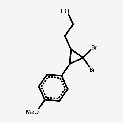 COc1ccc(C2C(CCO)C2(Br)Br)cc1